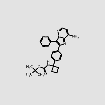 CC(C)(C)OC(=O)NC1(c2ccc(-c3nc4c(N)ccnn4c3-c3ccccc3)cc2)CCC1